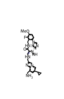 COc1ccc(-n2cnnn2)c(CNC(=O)/C(=C/NCc2cn3cc(C4CC4)cc(CN)c3n2)N=N)c1F